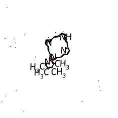 Cc1nc(-n2c3ccc2cc2nc(cc4ccc(cc5nc(c3)C=C5)[nH]4)C=C2)c(C)c(C)c1C